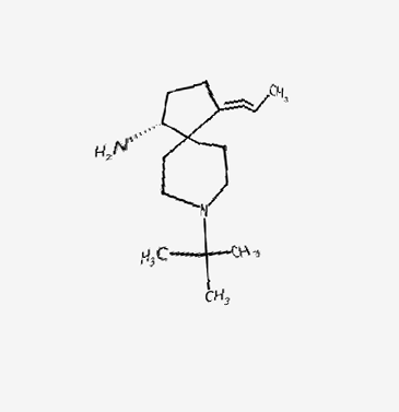 C/C=C1\CC[C@@H](N)C12CCN(C(C)(C)C)CC2